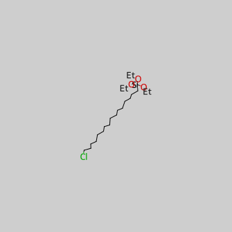 CCO[Si](CCCCCCCCCCCCCCCCCl)(OCC)OCC